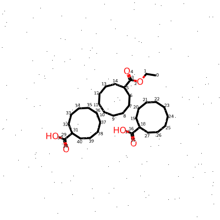 CCOC(=O)C1CCCCCCCCC1.O=C(O)C1CCCCCCCCC1.O=C(O)C1CCCCCCCCC1